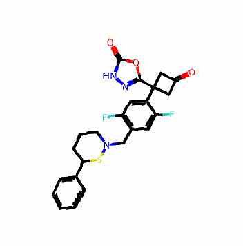 O=C1CC(c2n[nH]c(=O)o2)(c2cc(F)c(CN3CCCC(c4ccccc4)S3)cc2F)C1